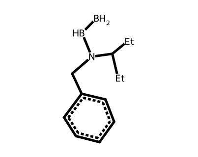 BBN(Cc1ccccc1)C(CC)CC